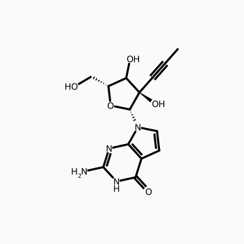 CC#C[C@@]1(O)C(O)[C@@H](CO)O[C@H]1n1ccc2c(=O)[nH]c(N)nc21